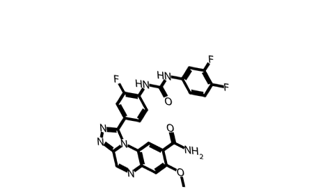 COc1cc2ncc3nnc(-c4ccc(NC(=O)Nc5ccc(F)c(F)c5)c(F)c4)n3c2cc1C(N)=O